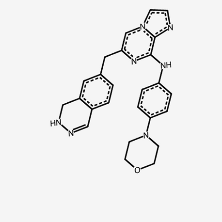 C1=NNCc2cc(Cc3cn4ccnc4c(Nc4ccc(N5CCOCC5)cc4)n3)ccc21